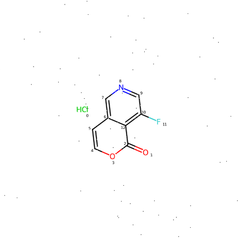 Cl.O=c1occc2cncc(F)c12